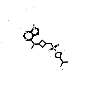 CN(c1ncnc2[nH]ccc12)C1CC(CS(=O)(=O)N2CC(C(F)F)C2)C1